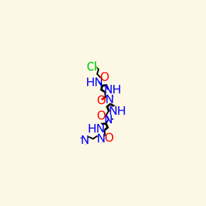 CN(C)CCCN(C)C(=O)c1cc(N(C)C(=O)c2cc(N(C)C(=O)c3cc(NC(=O)CCCl)c[nH]3)c[nH]2)c[nH]1